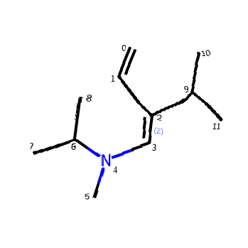 C=C/C(=C\N(C)C(C)C)C(C)C